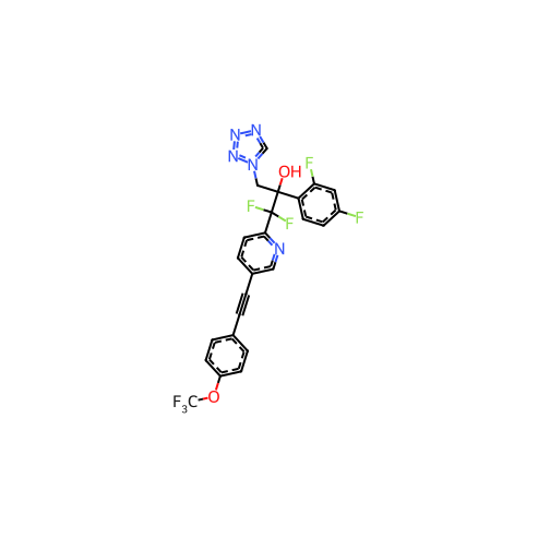 OC(Cn1cnnn1)(c1ccc(F)cc1F)C(F)(F)c1ccc(C#Cc2ccc(OC(F)(F)F)cc2)cn1